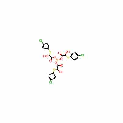 O=C(OP(OC(=O)C(O)Sc1ccc(Cl)cc1)OC(=O)C(O)Sc1ccc(Cl)cc1)C(O)Sc1ccc(Cl)cc1